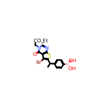 CCOC(=O)Cn1cnc2sc(C(C)c3ccc(B(O)O)cc3)c(Br)c2c1=O